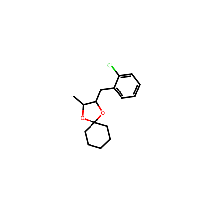 [CH2]C1OC2(CCCCC2)OC1Cc1ccccc1Cl